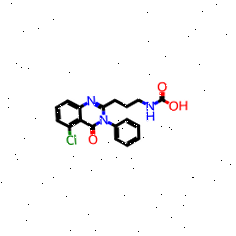 O=C(O)NCCCc1nc2cccc(Cl)c2c(=O)n1-c1ccccc1